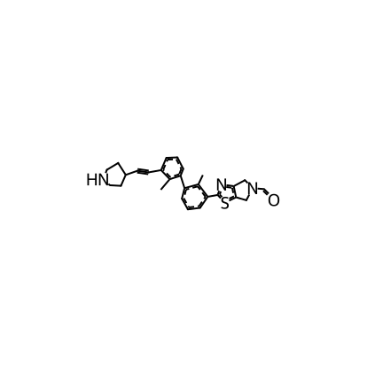 Cc1c(C#CC2CCNCC2)cccc1-c1cccc(-c2nc3c(s2)CN(C=O)C3)c1C